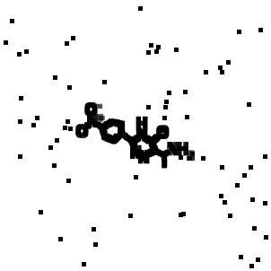 CC(N)c1nnc(-c2ccc([N+](=O)[O-])cc2)[nH]c1=O